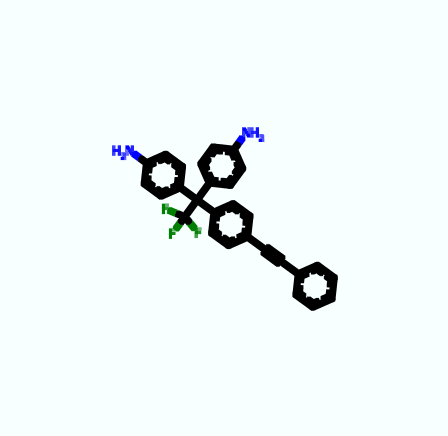 Nc1ccc(C(c2ccc(N)cc2)(c2ccc(C#Cc3ccccc3)cc2)C(F)(F)F)cc1